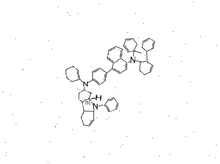 CC1(N(c2ccc(-c3ccc(N(C4=CCCCC4)C4CCC5C6CCC=CC6N(c6ccccc6)[C@H]5C4)cc3)c3ccccc23)C2CCC=CC2C2C=CC=CC2)C=CC=CC1